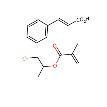 C=C(C)C(=O)OC(C)CCl.O=C(O)C=Cc1ccccc1